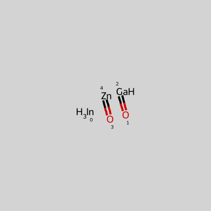 [InH3].[O]=[GaH].[O]=[Zn]